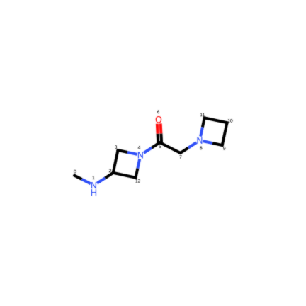 CNC1CN(C(=O)CN2CCC2)C1